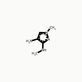 CNc1nn(C)cc1N